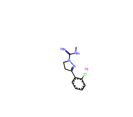 CNC(=N)N1CCC(c2ccccc2Cl)=N1.I